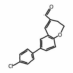 O=[C]C1=Cc2cc(-c3ccc(Cl)cc3)ccc2OCC1